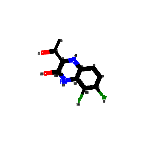 CC(=O)c1nc2ccc(Br)c(F)c2[nH]c1=O